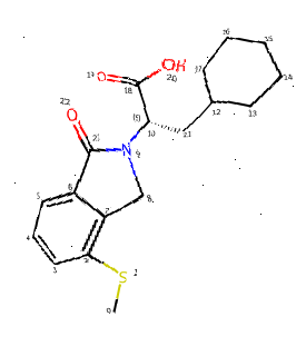 CSc1cccc2c1CN([C@@H](CC1CCCCC1)C(=O)O)C2=O